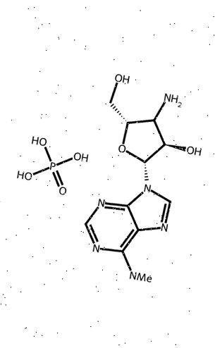 CNc1ncnc2c1ncn2[C@@H]1O[C@H](CO)C(N)[C@H]1O.O=P(O)(O)O